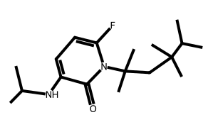 CC(C)Nc1ccc(F)n(C(C)(C)CC(C)(C)C(C)C)c1=O